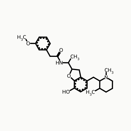 COc1cccc(CC(=O)NC(C)C2Cc3c(CC4C(C)CCCN4C)ccc(O)c3O2)c1